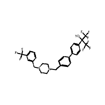 OC(c1ccc(-c2ccc(CN3CCN(Cc4cccc(C(F)(F)F)c4)CC3)cc2)cc1)(C(F)(F)F)C(F)(F)F